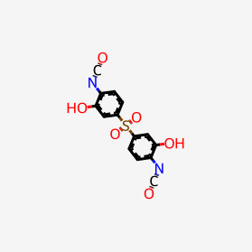 O=C=Nc1ccc(S(=O)(=O)c2ccc(N=C=O)c(O)c2)cc1O